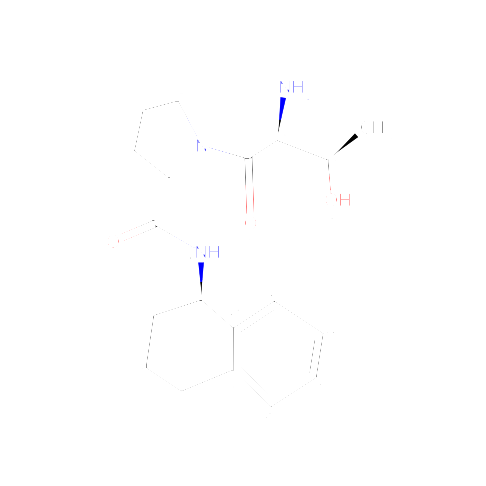 C[C@@H](O)[C@H](N)C(=O)N1CCC[C@H]1C(=O)N[C@@H]1CCCc2ccccc21